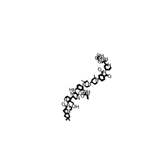 C=CC(=O)Nc1cc(Nc2nc(-c3ccnc(N4CCn5c(cc6c5CC(C)(C)C6)C4=O)c3CO)cnc2OC)ccc1N1CCN(C2CCN(c3ccc4c(c3)C(=O)N(c3ccnc(C(C)(C)NP(=O)(O)O)c3)C4=O)[C@H](C)C2)C[C@@H]1C